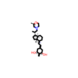 C=C1[C@H](O)CC(=C/C=C2\CCC[C@]3(C)[C@@H](C(C)CN4CCO[C@H](C)C4)CC[C@@H]23)C[C@H]1O